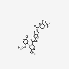 COc1cnc(Cl)cc1-c1cc(C)ncc1C(=O)Nc1nc2c(s1)CN(C(=O)c1ccc(C(F)(F)F)c(Cl)n1)C2